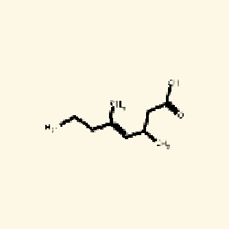 CCC/C(C)=C/C(C)CC(=O)O